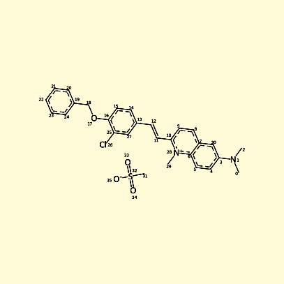 CN(C)c1ccc2c(ccc(C=Cc3ccc(OCc4ccccc4)c(Cl)c3)[n+]2C)c1.CS(=O)(=O)[O-]